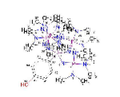 CN(C)P(=NP(N=P(N(C)C)(N(C)C)N(C)C)(N=P(N(C)C)(N(C)C)N(C)C)(N=P(N(C)C)(N(C)C)N(C)C)c1ccc(O)cc1)(N(C)C)N(C)C